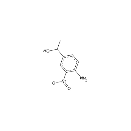 CC(O)c1ccc(N)c([N+](=O)[O-])c1